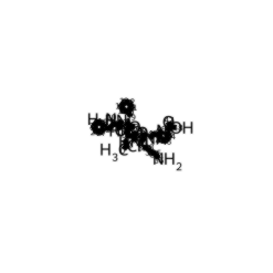 CC(C)C[C@@H](NC(=O)[C@@H](Cc1ccccc1)NC(=O)[C@H](N)Cc1ccccc1)C(=O)N[C@H](CCCCN)C(=O)NCc1cccc(C(=O)O)n1